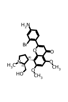 COc1cc(OC)c2c(=O)cc(-c3ccc(N)cc3Br)oc2c1[C@H]1CCN(C)[C@@H]1CO